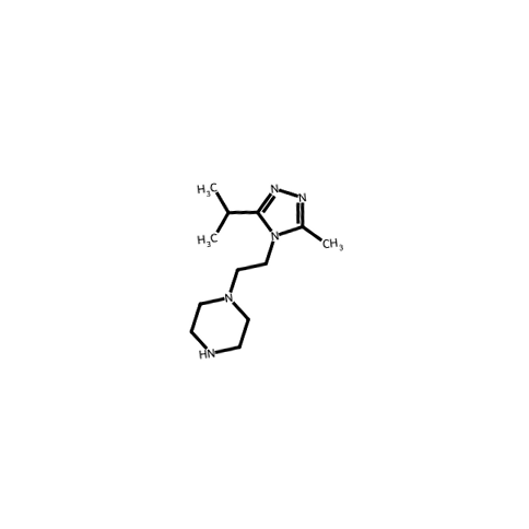 Cc1nnc(C(C)C)n1CCN1CCNCC1